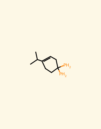 CC(C)C1=CCC(P)(P)CC1